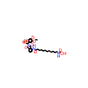 CCOc1cc(C(CS(C)(=O)=O)N2C(=O)c3cccc(NC(=O)CCCCCCCCCCCNC(=O)O)c3C2=O)ccc1OC